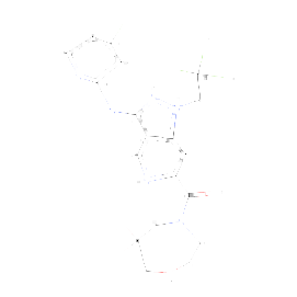 BC1(B)COCCN(C(=O)c2cc3c(cn2)c(Nc2cc(F)ccn2)nn3CC(F)(F)F)C1